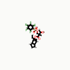 CCC1(OC(=O)C(C)(COS(=O)(=O)c2c(F)c(F)c(F)c(F)c2F)C(C)=O)CC2CC1C1CCCC21